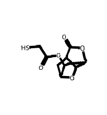 O=C(CS)OC1C2CC3C(=O)OC1C3O2